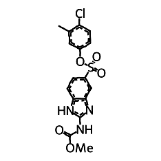 COC(=O)Nc1nc2cc(S(=O)(=O)Oc3ccc(Cl)c(C)c3)ccc2[nH]1